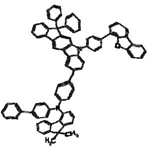 CC1(C)c2ccccc2-c2c(N(c3ccc(-c4ccccc4)cc3)c3ccc(-c4ccc5c(c4)c4cc6c(cc4n5-c4ccc(-c5cccc7c5oc5ccccc57)cc4)C(c4ccccc4)(c4ccccc4)c4ccccc4-6)cc3)cccc21